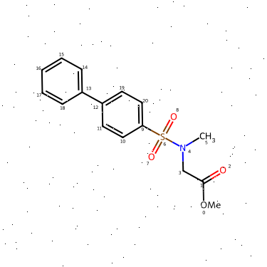 COC(=O)CN(C)S(=O)(=O)c1ccc(-c2ccccc2)cc1